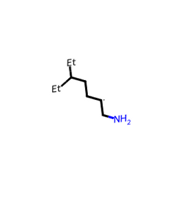 CCC(CC)CC[CH]CN